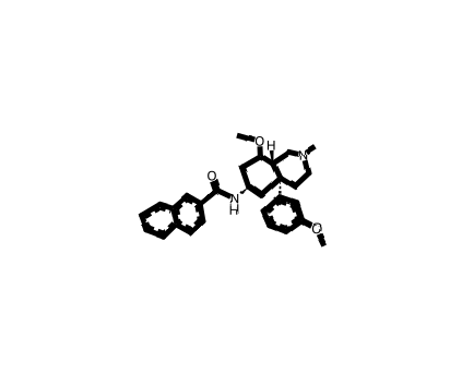 COc1cccc([C@@]23CCN(C)C[C@H]2C(OC)C[C@@H](NC(=O)c2ccc4ccccc4c2)C3)c1